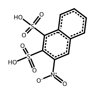 O=[N+]([O-])c1cc2ccccc2c(S(=O)(=O)O)c1S(=O)(=O)O